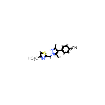 Cc1nn(Cc2nc(C(=O)O)cs2)c(C)c1-c1ccc(C#N)cc1